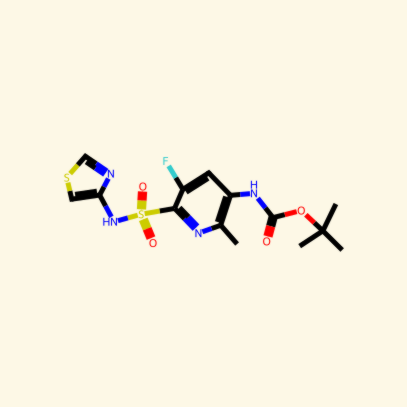 Cc1nc(S(=O)(=O)Nc2cscn2)c(F)cc1NC(=O)OC(C)(C)C